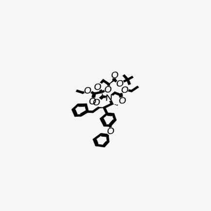 CCOC(=O)CN(C(=O)[C@]1(C(=O)OCC)OC[C@@H](C(=O)OC(C)(C)C)O1)[C@H](C)[C@H](CCc1ccccc1)c1ccc(Oc2ccccc2)cc1